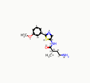 COc1cccc(-c2ncc(NC(=O)[C@@H](C)CCN)s2)c1